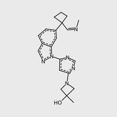 C/N=C\C1(c2ccc3cnn(-c4cc(N5CC(C)(O)C5)ncn4)c3c2)CCC1